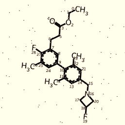 CCOC(=O)CCc1cc(-c2c(C)cc(CN3CC(F)C3)cc2C)cc(C)c1F